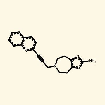 Nc1nc2c(s1)CCN(CC#Cc1ccc3ccccc3n1)CC2